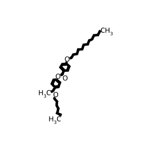 CCCCCCCCCCCCCOc1ccc(C(=O)Oc2ccc(C(C)OCCCCCCC)cc2)cc1